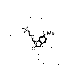 COc1ccc2c(c1)N(COCC[Si](C)(C)C)C(=O)C2